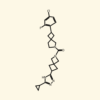 O=C(N1CCC2(CC(c3ccc(Cl)cc3F)C2)C1)N1CC2(CC(c3nnc(C4CC4)[nH]3)C2)C1